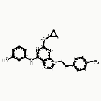 Nc1ccc(CCn2cnc3c(Nc4cccc(N)c4)nc(NC4CC4)nc32)cc1